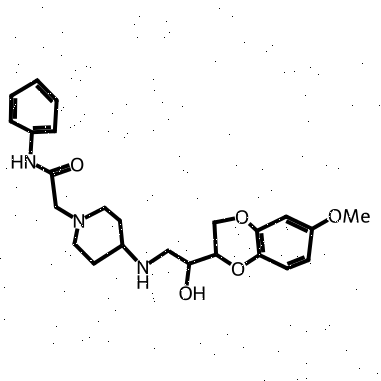 COc1ccc2c(c1)OCC(C(O)CNC1CCN(CC(=O)Nc3ccccc3)CC1)O2